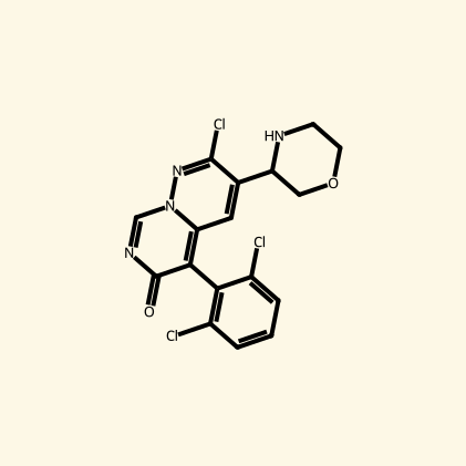 O=c1ncn2nc(Cl)c(C3COCCN3)cc2c1-c1c(Cl)cccc1Cl